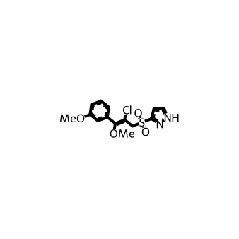 COC(=C(Cl)CS(=O)(=O)c1cc[nH]n1)c1cccc(OC)c1